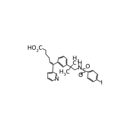 CC(C)(CNS(=O)(=O)c1ccc(I)cc1)c1cccc(/C(=C\CCCC(=O)O)c2cccnc2)c1